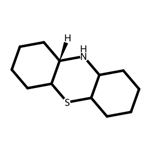 C1CCC2SC3CCCC[C@@H]3NC2C1